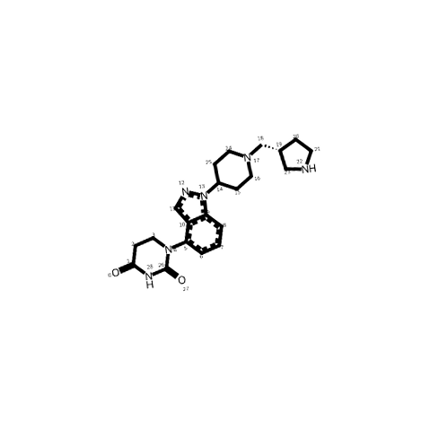 O=C1CCN(c2cccc3c2cnn3C2CCN(C[C@@H]3CCNC3)CC2)C(=O)N1